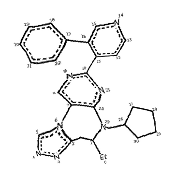 CCC1c2nncn2-c2cnc(-c3ccncc3-c3ccccc3)nc2N1C1CCCC1